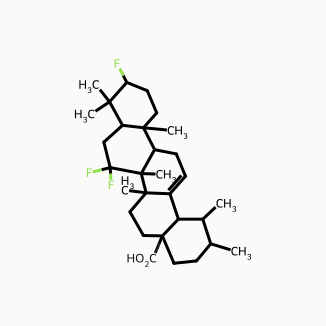 CC1CCC2(C(=O)O)CCC3(C)C(=CCC4C5(C)CCC(F)C(C)(C)C5CC(F)(F)C43C)C2C1C